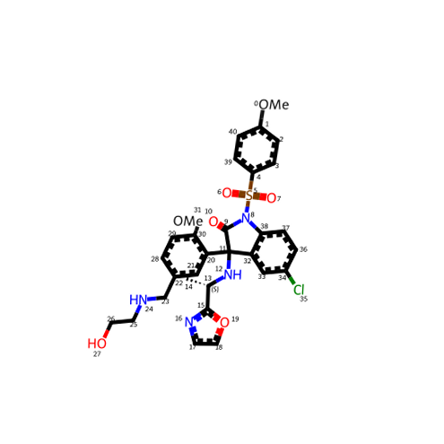 COc1ccc(S(=O)(=O)N2C(=O)C(N[C@@H](C)c3ncco3)(c3cc(CNCCO)ccc3OC)c3cc(Cl)ccc32)cc1